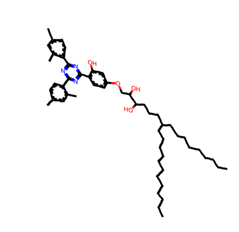 CCCCCCCCCCCCC(CCCCCCCCC)CCCC(O)C(O)COc1ccc(-c2nc(-c3ccc(C)cc3C)nc(-c3ccc(C)cc3C)n2)c(O)c1